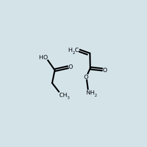 C=CC(=O)ON.CCC(=O)O